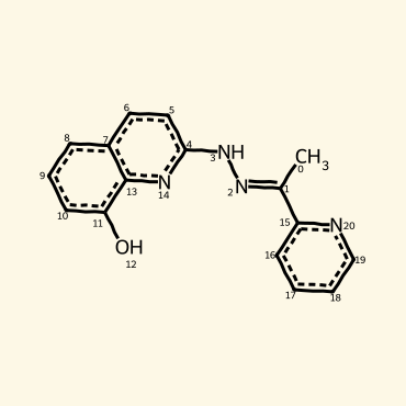 C/C(=N\Nc1ccc2cccc(O)c2n1)c1ccccn1